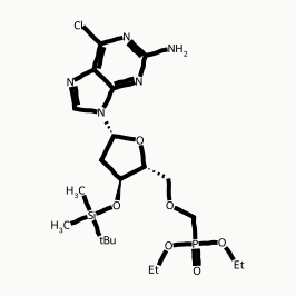 CCOP(=O)(COC[C@H]1O[C@@H](n2cnc3c(Cl)nc(N)nc32)C[C@@H]1O[Si](C)(C)C(C)(C)C)OCC